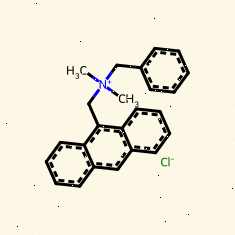 C[N+](C)(Cc1ccccc1)Cc1c2ccccc2cc2ccccc12.[Cl-]